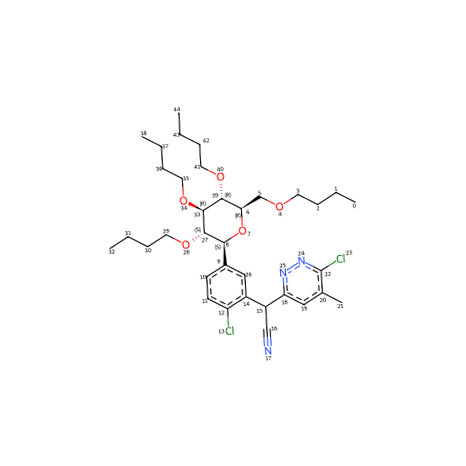 CCCCOC[C@H]1O[C@@H](c2ccc(Cl)c(C(C#N)c3cc(C)c(Cl)nn3)c2)[C@H](OCCCC)[C@@H](OCCCC)[C@@H]1OCCCC